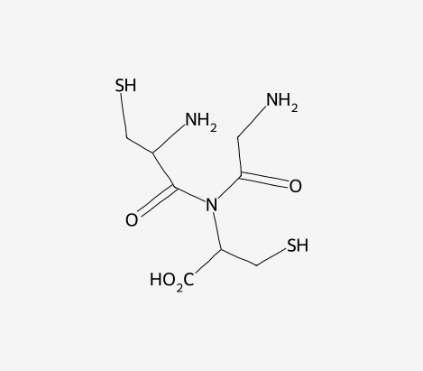 NCC(=O)N(C(=O)C(N)CS)C(CS)C(=O)O